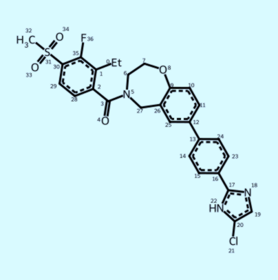 CCc1c(C(=O)N2CCOc3ccc(-c4ccc(-c5ncc(Cl)[nH]5)cc4)cc3C2)ccc(S(C)(=O)=O)c1F